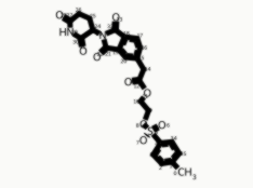 Cc1ccc(S(=O)(=O)OCCOC(=O)Cc2ccc3c(c2)C(=O)N(C2CCC(=O)NC2=O)C3=O)cc1